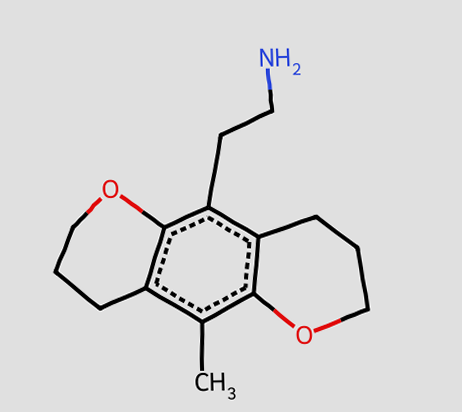 Cc1c2c(c(CCN)c3c1OCCC3)OCCC2